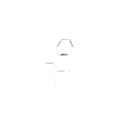 CCC(O)N(C)c1ccc(C)cc1